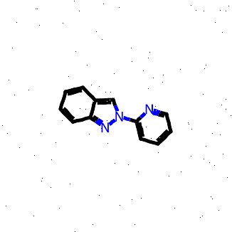 c1ccc(-n2cc3ccccc3n2)nc1